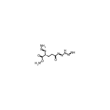 N=NNN=NC(=O)CC[C@H](N=NN)C(=O)ON